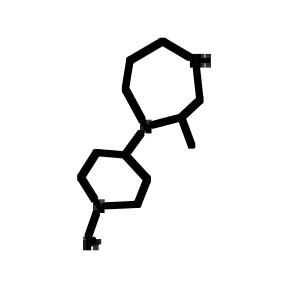 CC(C)N1CCC(N2CCCNCC2C)CC1